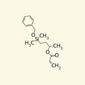 C=CC(=O)OC(C)CC[Si](C)(C)OCc1ccccc1